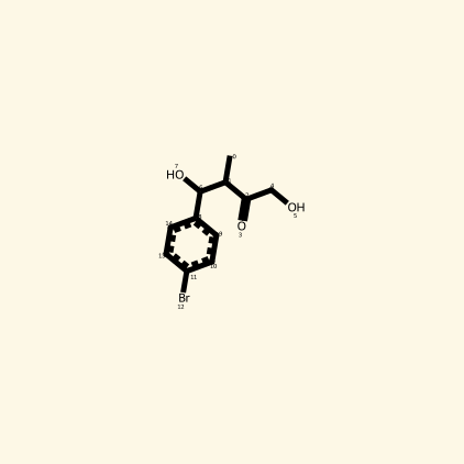 CC(C(=O)CO)C(O)c1ccc(Br)cc1